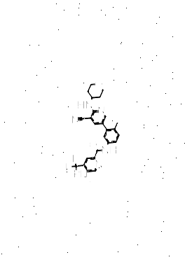 Cc1ccc(NC(=O)c2cc(C(F)(F)P)ccn2)cc1-c1cnc(NC2CCOCC2)c(C#N)c1